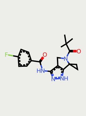 CC(C)(C)C(=O)N1Cc2c(NC(=O)c3ccc(F)cc3)n[nH]c2C12CC2